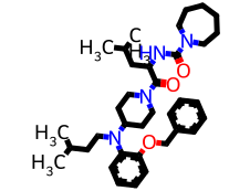 CC(C)CCN(c1ccccc1OCc1ccccc1)C1CCN(C(=O)C(CC(C)C)NC(=O)N2CCCCCC2)CC1